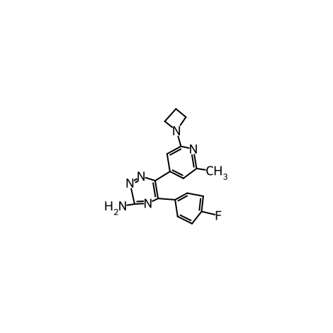 Cc1cc(-c2nnc(N)nc2-c2ccc(F)cc2)cc(N2CCC2)n1